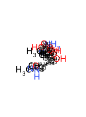 CN(C)CC(=O)Nc1ccc(C#Cc2ccc(O)c3c2C[C@@H]2C[C@H]4[C@@H](N(C)C)C(O)=C(C(N)=O)C(=O)[C@@]4(O)C(O)=C2C3=O)cc1